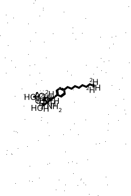 [2H]C([2H])([2H])CCCCCCCc1ccc(C([2H])([2H])C([2H])([2H])C(N)(C([2H])([2H])O)C([2H])([2H])OP(C)(=O)O)cc1